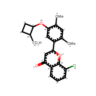 COc1cc(OC)c(-c2cc(=O)c3cccc(Cl)c3o2)cc1OC1CCC1C(=O)O